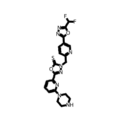 FC(F)c1nnc(-c2ccc(Cn3nc(-c4cccc(N5CCNCC5)n4)oc3=S)nc2)o1